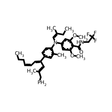 CCC\C=C/C=C(\C=C(/C)CP)c1ccc(N(/C=C(/C)CC)c2cc(OC)c(C(=O)NCC(F)(F)F)c(OC)c2)c(C)c1